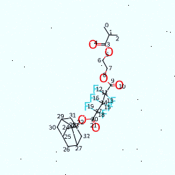 CC(C)C(=O)OCCOC(=O)C(F)(F)C(F)(F)C(F)(F)C(=O)OC12CC3CC(CC(C3)C1)C2